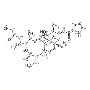 CO[C@H]1C[C@H]2C=C[C@H]3[C@H]4O[C@]2(/C(C)=C/[C@@H](C)[C@@H]([C@@H](C)OC(=O)CCl)OC1=O)[C@@H]3[C@H](O)[C@@H](C)[C@H]4OC(=O)c1ccc[nH]1